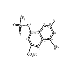 CCOC(=O)c1cc(OS(=O)(=O)C(F)(F)F)c2cc(C)cc(C(C)(C)C)c2n1